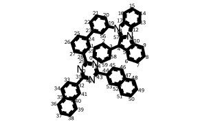 c1ccc(-c2c3ccccc3n3c4ccccc4n(-c4cccc(-c5cccc(-c6nc(-c7ccc8ccccc8c7)nc(-c7ccc8ccccc8c7)n6)c5)c4)c23)cc1